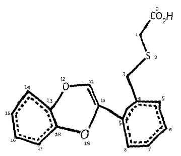 O=C(O)CSCc1ccccc1C1=COc2ccccc2O1